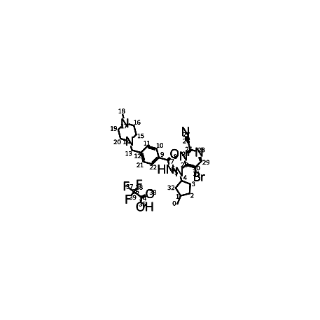 CC1CCC(N(NC(=O)c2ccc(CN3CCN(C)CC3)cc2)c2nc(C#N)ncc2Br)C1.O=C(O)C(F)(F)F